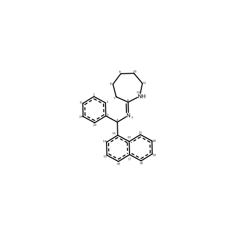 c1ccc(C(N=C2CCCCCN2)c2cccc3ccccc23)cc1